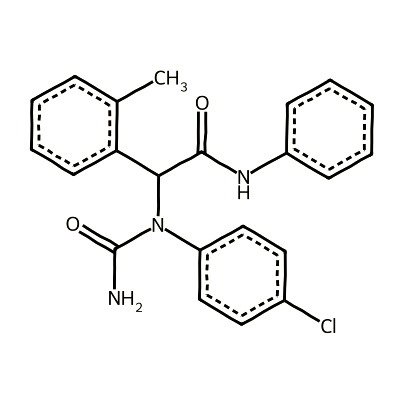 Cc1ccccc1C(C(=O)Nc1ccccc1)N(C(N)=O)c1ccc(Cl)cc1